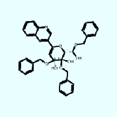 OC(OCc1ccccc1)[C@H]1OC(c2cnc3ccccc3c2)=C[C@](O)(OCc2ccccc2)[C@@]1(O)OCc1ccccc1